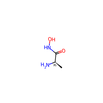 C[C@@H](N)C(=O)NO